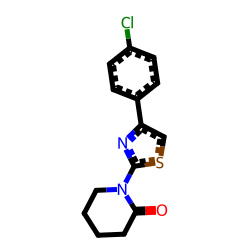 O=C1CCCCN1c1nc(-c2ccc(Cl)cc2)cs1